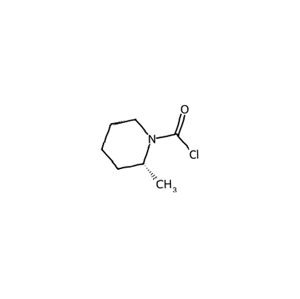 C[C@@H]1CCCCN1C(=O)Cl